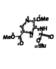 COC(=O)c1cnc(OC)c(NC(=O)OC(C)(C)C)n1